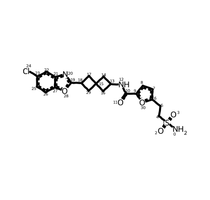 NS(=O)(=O)CCc1ccc(C(=O)NC2CC3(C2)CC(c2nc4cc(Cl)ccc4o2)C3)o1